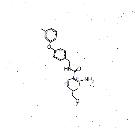 COCC(C)/C=C\C(C(=O)NCc1ccc(Oc2cccc(C)c2)cc1)=C(/C)N